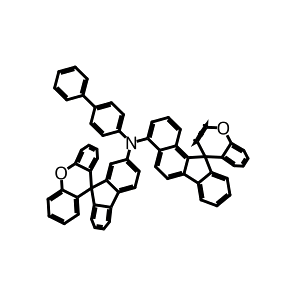 c1ccc(-c2ccc(N(c3ccc4c(c3)C3(c5ccccc5Oc5ccccc53)c3ccccc3-4)c3cccc4c5c(ccc34)-c3ccccc3C53c4ccccc4Oc4ccccc43)cc2)cc1